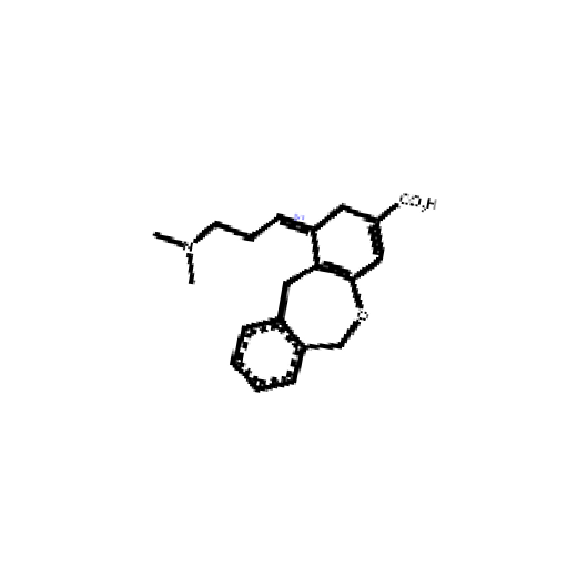 CN(C)CC/C=C1/CC(C(=O)O)=CC2=C1Cc1ccccc1CO2